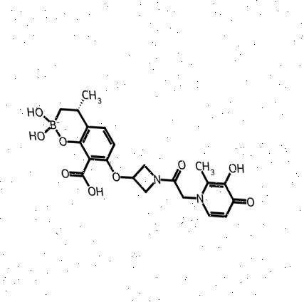 Cc1c(O)c(=O)ccn1CC(=O)N1CC(Oc2ccc3c(c2C(=O)O)O[B-](O)(O)C[C@@H]3C)C1